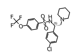 O=S(=O)(N[C@H](CN1CCCCC1)c1ccc(Cl)cc1)c1ccc(OC(F)(F)F)cc1